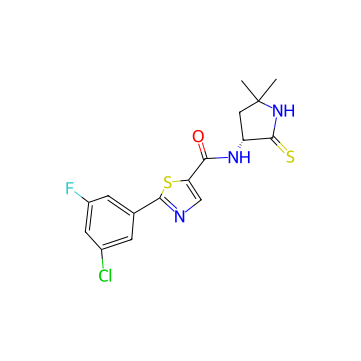 CC1(C)C[C@@H](NC(=O)c2cnc(-c3cc(F)cc(Cl)c3)s2)C(=S)N1